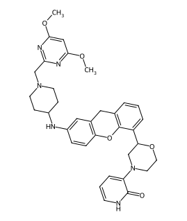 COc1cc(OC)nc(CN2CCC(Nc3ccc4c(c3)Cc3cccc(C5CN(c6ccc[nH]c6=O)CCO5)c3O4)CC2)n1